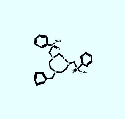 COP(=O)(CN1CCN(Cc2ccccc2)CCN(CP(=O)(OC)c2ccccc2)CC1)c1ccccc1